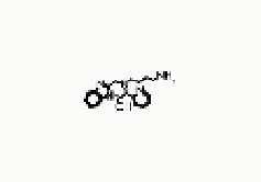 NCCCCN(Cc1nc2ccccc2[nH]1)C(CO)c1ccccn1